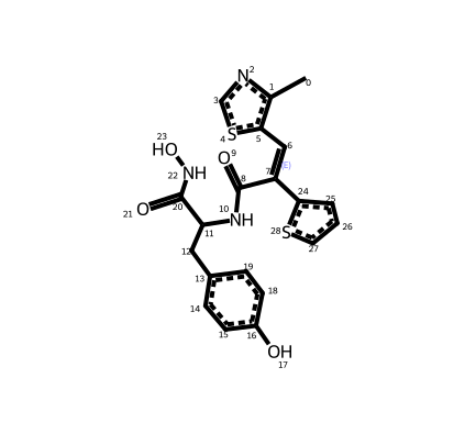 Cc1ncsc1/C=C(\C(=O)NC(Cc1ccc(O)cc1)C(=O)NO)c1cccs1